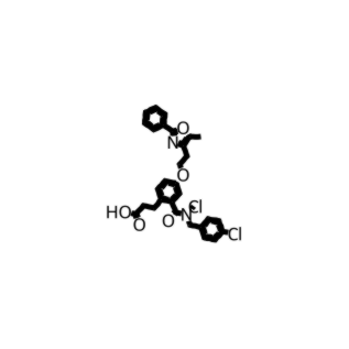 Cc1oc(-c2ccccc2)nc1CCOc1ccc(CCC(=O)O)c(C(=O)N(Cl)Cc2ccc(Cl)cc2)c1